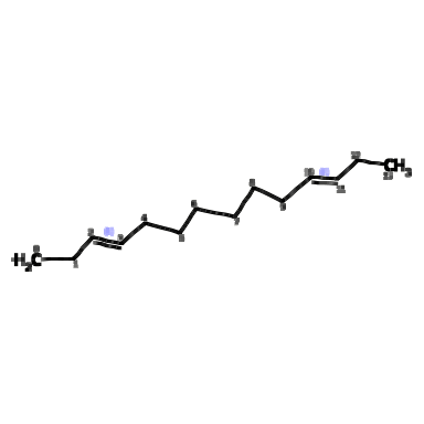 [CH2]C/C=C/CCCCCC/C=C/CC